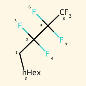 [CH2]CCCCCCC(F)(F)C(F)(F)C(F)(F)F